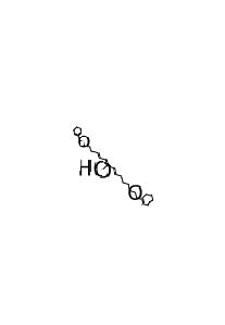 OC(CCCCCCOCC1=CC=CCC1)CCCCCCOCc1ccccc1